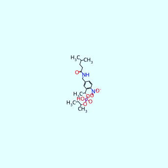 CCC(C)OP(=O)(O)OC(C)c1cc(CNC(=O)CCC(C)C)ccc1[N+](=O)[O-]